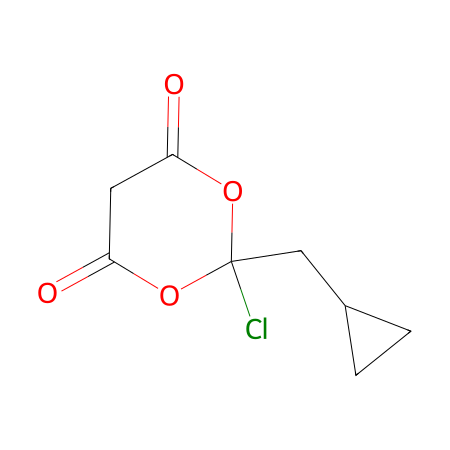 O=C1CC(=O)OC(Cl)(CC2CC2)O1